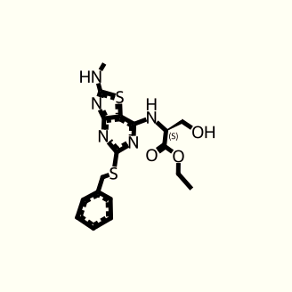 CCOC(=O)[C@H](CO)Nc1nc(SCc2ccccc2)nc2nc(NC)sc12